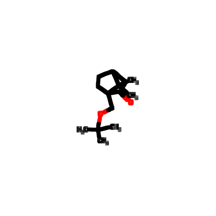 CC(C)(C)OCC12CCC(CC1=O)C2(C)C